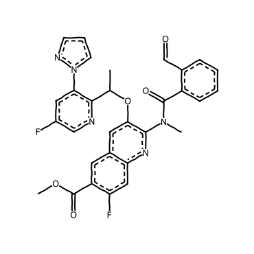 COC(=O)c1cc2cc(OC(C)c3ncc(F)cc3-n3cccn3)c(N(C)C(=O)c3ccccc3C=O)nc2cc1F